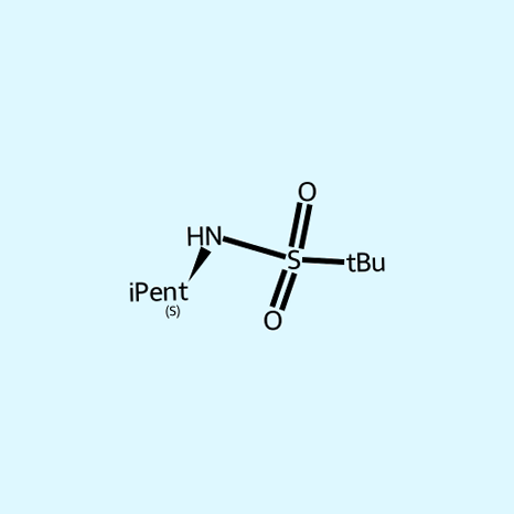 CCC[C@H](C)NS(=O)(=O)C(C)(C)C